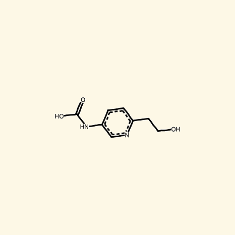 O=C(O)Nc1ccc(CCO)nc1